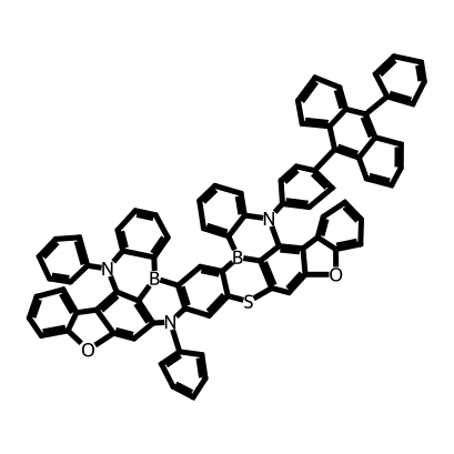 c1ccc(-c2c3ccccc3c(-c3ccc(N4c5ccccc5B5c6cc7c(cc6Sc6cc8oc9ccccc9c8c4c65)N(c4ccccc4)c4cc5oc6ccccc6c5c5c4B7c4ccccc4N5c4ccccc4)cc3)c3ccccc23)cc1